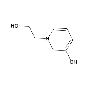 OCCN1C=CC=C(O)C1